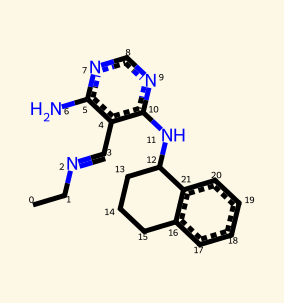 CC/N=C/c1c(N)ncnc1NC1CCCc2ccccc21